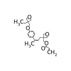 C=CC(=O)OCC1(C/C=C(/C)c2ccc(OCC3(CC)COC3)cc2)COC1